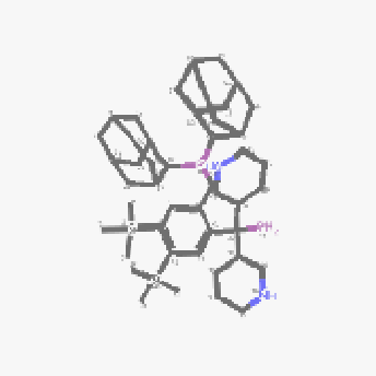 C[Si](C)(C)c1cc(CP(C2C3CC4CC(C3)CC2C4)C2C3CC4CC(C3)CC2C4)c(C(P)(C2CCCNC2)C2CCCNC2)cc1[Si](C)(C)C